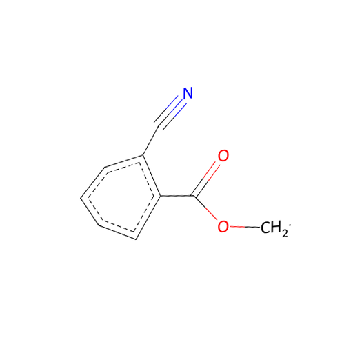 [CH2]OC(=O)c1ccccc1C#N